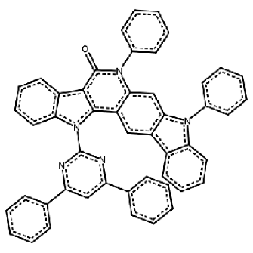 O=c1c2c3ccccc3n(-c3nc(-c4ccccc4)cc(-c4ccccc4)n3)c2c2cc3c4ccccc4n(-c4ccccc4)c3cc2n1-c1ccccc1